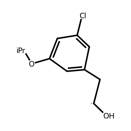 CC(C)Oc1cc(Cl)cc(C[CH]O)c1